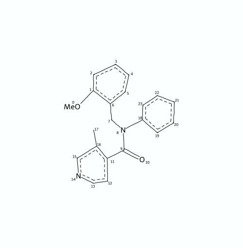 COc1ccccc1CN(C(=O)c1ccncc1C)c1ccccc1